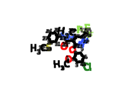 COc1cc(Cl)ccc1Oc1nnc(C(F)(F)F)c(C)c1C(=O)Nc1cccc(SC)c1